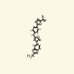 Nc1nc2ccc(-c3cc(Cc4ccc(-c5nnc(C(F)F)o5)cc4)on3)cc2s1